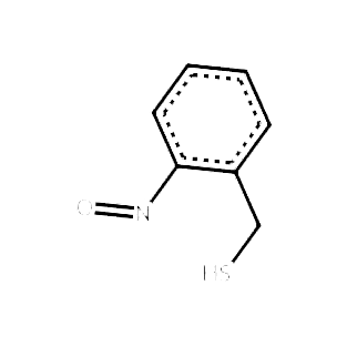 O=Nc1ccccc1CS